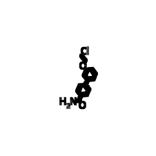 NC(=O)c1ccc(-c2cccc(OCCCl)c2)cc1